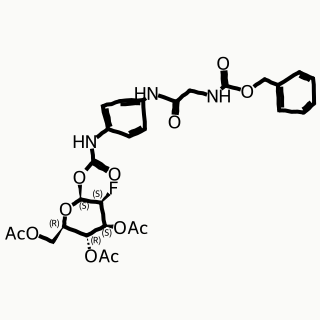 CC(=O)OC[C@H]1O[C@@H](OC(=O)Nc2ccc(NC(=O)CNC(=O)OCc3ccccc3)cc2)[C@@H](F)[C@@H](OC(C)=O)[C@@H]1OC(C)=O